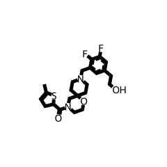 CC1=CCC(C(=O)N2CCOC3(CCN(Cc4cc(CCO)cc(F)c4F)CC3)C2)S1